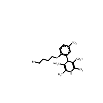 CC1=C(C(=O)O)C(c2cc([N+](=O)[O-])ccc2OCCCCBr)C(C(=O)O)=C(C(F)(F)F)N1